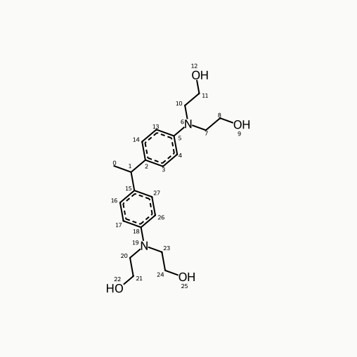 CC(c1ccc(N(CCO)CCO)cc1)c1ccc(N(CCO)CCO)cc1